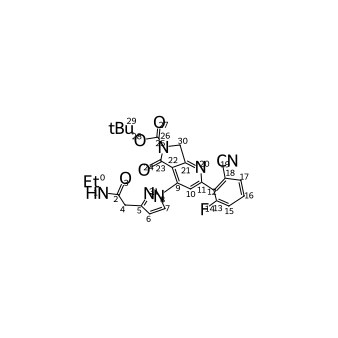 CCNC(=O)Cc1ccn(-c2cc(-c3c(F)cccc3C#N)nc3c2C(=O)N(C(=O)OC(C)(C)C)C3)n1